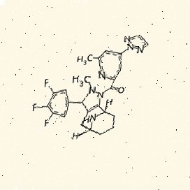 Cc1cc(-n2nccn2)cc(C(=O)N2C3=C(C[C@H]4CCC[C@@H]3N4)C(c3cc(F)c(F)c(F)c3)N2C)n1